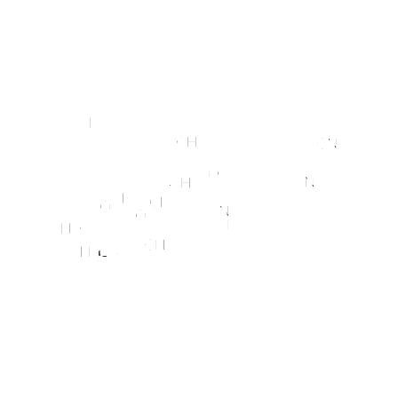 Cc1cc(C)c(C(C)(C)CC(=O)Nc2ccc3nc(C#N)sc3c2)c(B2OC(C)(C)C(C)(C)O2)c1